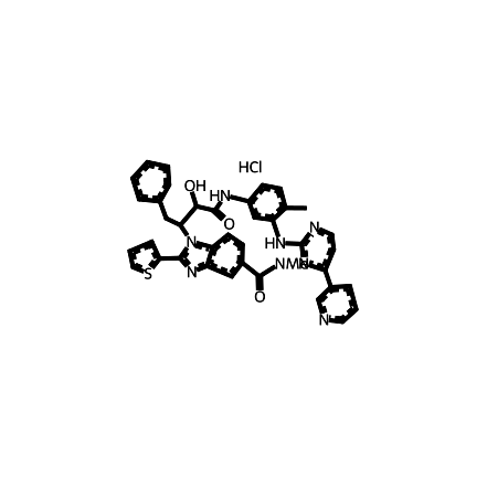 CNC(=O)c1ccc2c(c1)nc(-c1cccs1)n2C(Cc1ccccc1)C(O)C(=O)Nc1ccc(C)c(Nc2nccc(-c3cccnc3)n2)c1.Cl